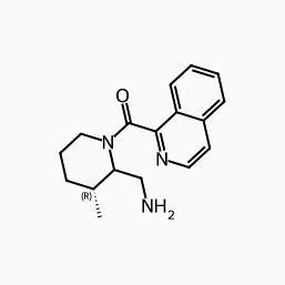 C[C@@H]1CCCN(C(=O)c2nccc3ccccc23)C1CN